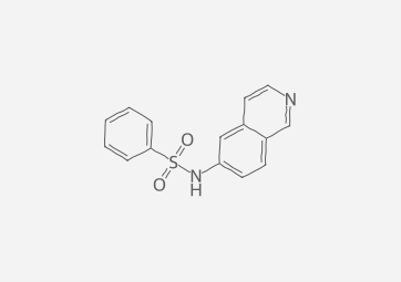 O=S(=O)(Nc1ccc2cnccc2c1)c1ccccc1